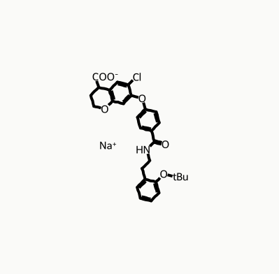 CC(C)(C)Oc1ccccc1CCNC(=O)c1ccc(Oc2cc3c(cc2Cl)C(C(=O)[O-])CCO3)cc1.[Na+]